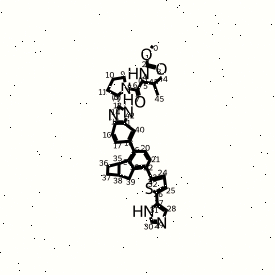 COC(=O)N[C@H](C(=O)N1CCC[C@H]1c1nc2ccc(-c3ccc(-c4ccc(-c5cnc[nH]5)s4)c4c3C3CCC3C4)cc2[nH]1)C(C)C